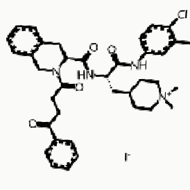 Cc1cc(NC(=O)[C@H](CC2CC[N+](C)(C)CC2)NC(=O)[C@@H]2Cc3ccccc3CN2C(=O)CCC(=O)c2ccccc2)ccc1Cl.[I-]